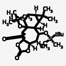 C[C@@H]1C[C@@H]2[C@H]([C@@H]3C(O[Si](C)(C)C(C)(C)C)[C@H](C)[C@H]4OC(=O)O[C@]45CC(=O)C=C5C13O[Si](C)(C)C)C2(C)C